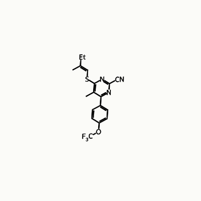 CC/C(C)=C/Sc1nc(C#N)nc(-c2ccc(OC(F)(F)F)cc2)c1C